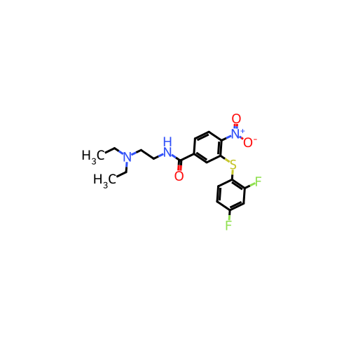 CCN(CC)CCNC(=O)c1ccc([N+](=O)[O-])c(Sc2ccc(F)cc2F)c1